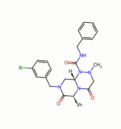 CC(C)[C@H]1C(=O)N(Cc2cccc(Br)c2)C[C@H]2N1C(=O)CN(C)N2C(=O)NCc1ccccc1